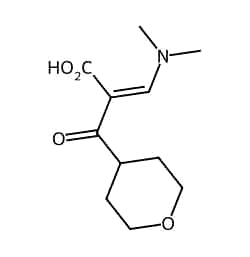 CN(C)C=C(C(=O)O)C(=O)C1CCOCC1